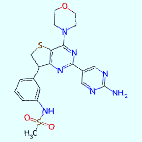 CS(=O)(=O)Nc1cccc(C2CSc3c2nc(-c2cnc(N)nc2)nc3N2CCOCC2)c1